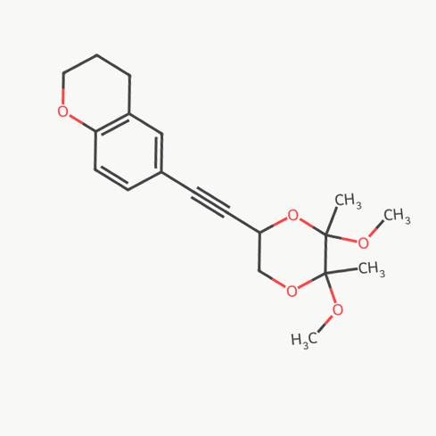 COC1(C)OCC(C#Cc2ccc3c(c2)CCCO3)OC1(C)OC